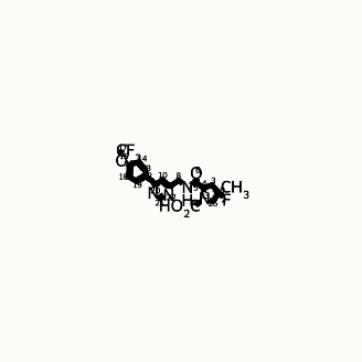 CC1(F)CC(C(=O)NCc2cc(-c3ccc(OC(F)(F)F)cc3)ncn2)N(C(=O)O)C1